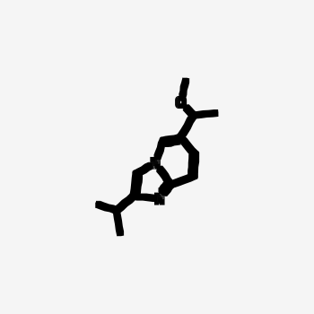 COC(C)c1ccc2nc(C(C)C)cn2c1